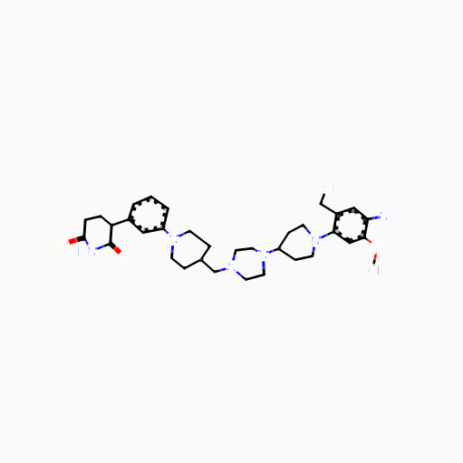 CCc1cc(N)c(OC)cc1N1CCC(N2CCN(CC3CCN(c4cccc(C5CCC(=O)NC5=O)c4)CC3)CC2)CC1